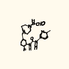 Cc1ccc(NC(=O)Nc2cc(CN3CCN(BC=O)CC3)ccc2F)cn1